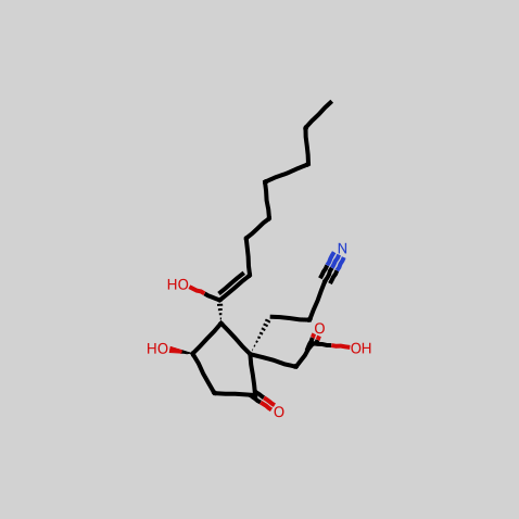 CCCCCCC=C(O)[C@H]1[C@H](O)CC(=O)[C@]1(CCC#N)CC(=O)O